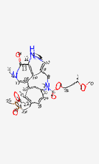 COCCOC(=O)N1Cc2c[nH]c3c(=O)n(C)cc(c23)-c2cc(CS(C)(=O)=O)ccc21